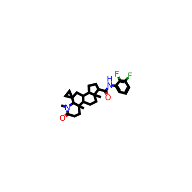 CN1C(=O)CCC2(C)C3CCC4(C)C(C(=O)Nc5cccc(F)c5F)CCC4C3CC3(CC3)C12